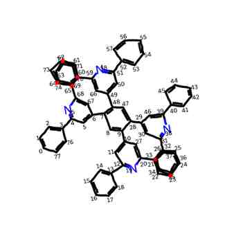 c1ccc(-c2cc(-c3cc(-c4cc(-c5ccccc5)nc(-c5ccccc5)c4)c(-c4cc(-c5ccccc5)nc(-c5ccccc5)c4)cc3-c3cc(-c4ccccc4)nc(-c4ccccc4)c3)cc(-c3ccccc3)n2)cc1